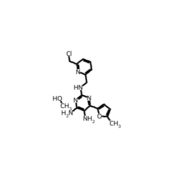 CO.Cc1ccc(-c2nc(NCc3cccc(CCl)n3)nc(N)c2N)o1